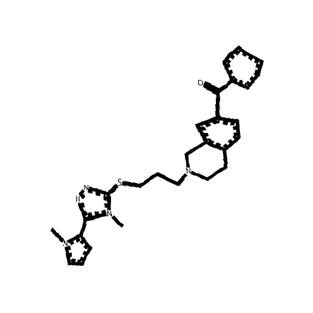 Cn1cccc1-c1nnc(SCCCN2CCc3ccc(C(=O)c4ccccc4)cc3C2)n1C